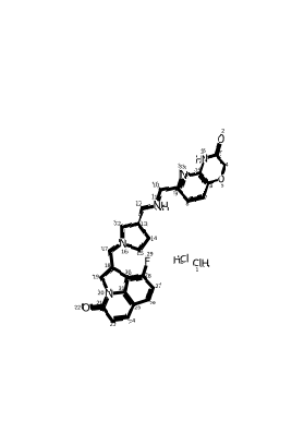 Cl.Cl.O=C1COc2ccc(CNC[C@H]3CCN(CC4Cn5c(=O)ccc6ccc(F)c4c65)C3)nc2N1